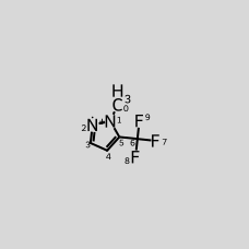 CN1[N+]=CC=C1C(F)(F)F